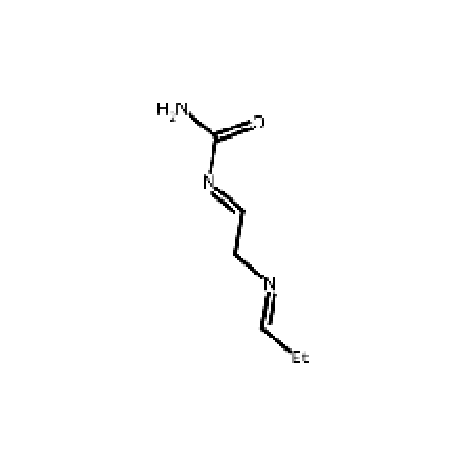 CCC=NCC=NC(N)=O